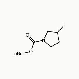 CCCCOC(=O)N1CCC(I)C1